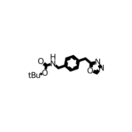 CC(C)(C)OC(=O)NCc1ccc(Cc2nnco2)cc1